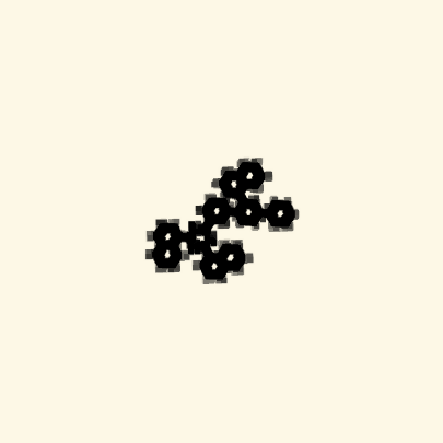 c1ccc(-c2ccc(-c3cccc(-c4nc(-c5cccc6ccccc56)nc(-c5cccc6ccccc56)n4)c3)c(-c3cccc4ccccc34)c2)cc1